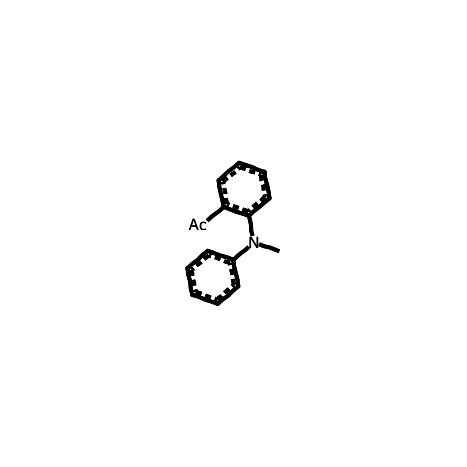 CC(=O)c1ccccc1N(C)c1ccccc1